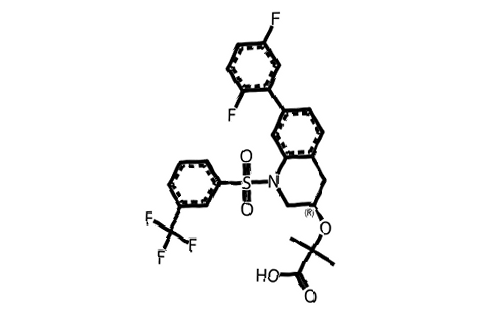 CC(C)(O[C@@H]1Cc2ccc(-c3cc(F)ccc3F)cc2N(S(=O)(=O)c2cccc(C(F)(F)F)c2)C1)C(=O)O